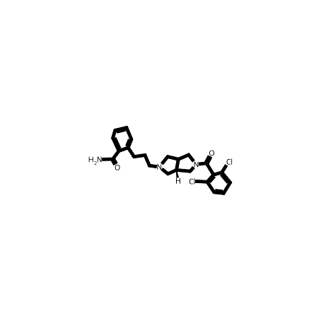 NC(=O)c1ccccc1[CH]CCN1CC2CN(C(=O)c3c(Cl)cccc3Cl)C[C@@H]2C1